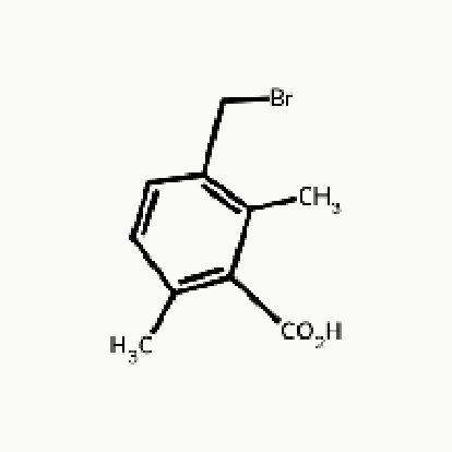 Cc1ccc(CBr)c(C)c1C(=O)O